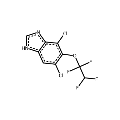 FC(F)C(F)(F)Oc1c(Cl)cc2[nH]cnc2c1Cl